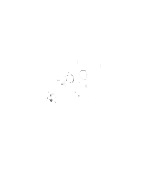 CC(C)c1ccc(C(O)(c2cncc(N3CC(c4cnn(C)n4)CC3=O)c2)C2(C)CN(C)C2)cc1